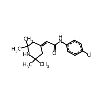 CC1(C)CC(=CC(=O)Nc2ccc(Cl)cc2)CC(C)(C)N1